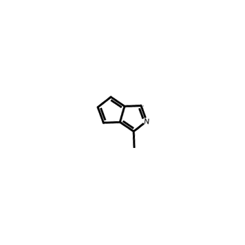 CC1=C2C=CC=C2[C]=N1